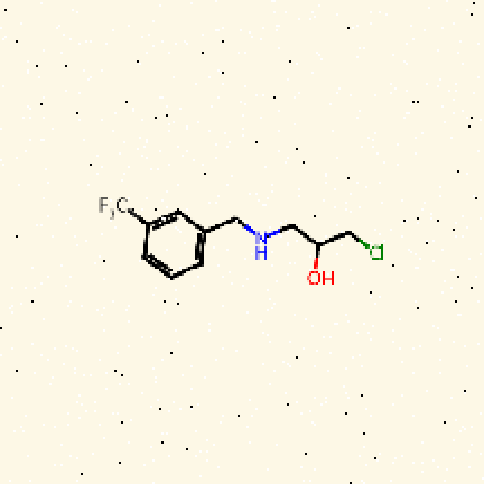 OC(CCl)CNCc1cccc(C(F)(F)F)c1